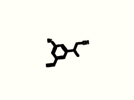 C=Cc1cc(Br)cc([C](C)CO)c1